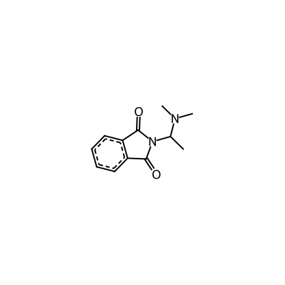 CC(N(C)C)N1C(=O)c2ccccc2C1=O